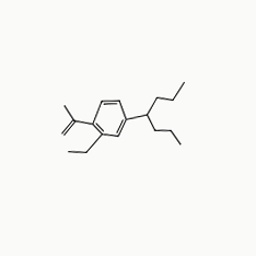 C=C(C)c1ccc(C(CCC)CCC)cc1CC